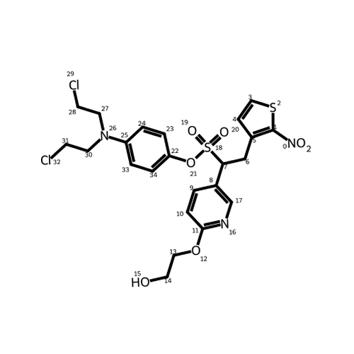 O=[N+]([O-])c1sccc1CC(c1ccc(OCCO)nc1)S(=O)(=O)Oc1ccc(N(CCCl)CCCl)cc1